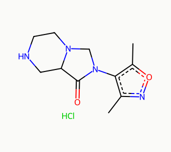 Cc1noc(C)c1N1CN2CCNCC2C1=O.Cl